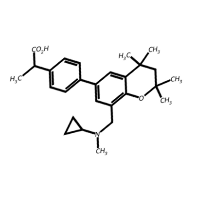 CC(C(=O)O)c1ccc(-c2cc(CN(C)C3CC3)c3c(c2)C(C)(C)CC(C)(C)O3)cc1